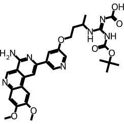 COc1cc2ncc3c(N)nc(-c4cncc(OCCC(C)NC(=NC(=O)O)NC(=O)OC(C)(C)C)c4)cc3c2cc1OC